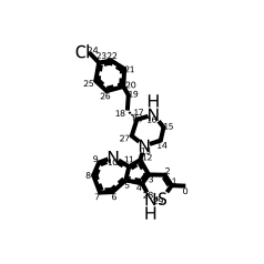 CC1=Cc2c(c3ccccnc-3c2N2CCN[C@@H](CCc3ccc(Cl)cc3)C2)NS1